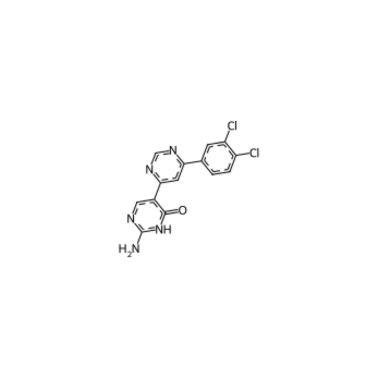 Nc1ncc(-c2cc(-c3ccc(Cl)c(Cl)c3)ncn2)c(=O)[nH]1